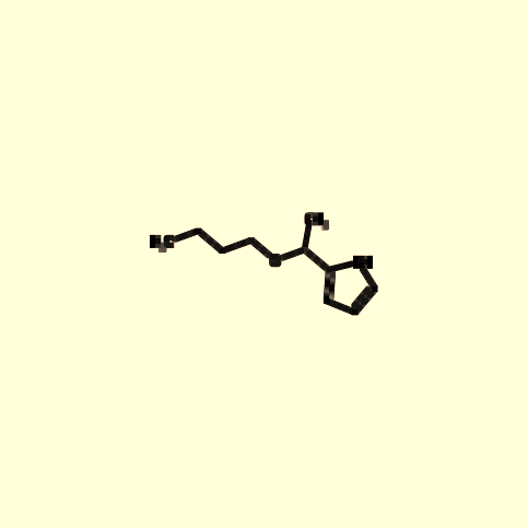 CCCCOC(C)c1ccc[nH]1